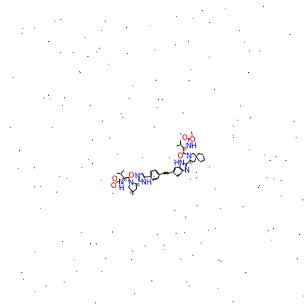 COC(=O)N[C@H](C(=O)N1C[C@H](C)C[C@H]1c1ncc(-c2ccc(C#Cc3ccc4nc([C@@H]5CC6(CCCC6)CN5C(=O)[C@@H](NC(=O)OC)C(C)C)[nH]c4c3)cc2)[nH]1)C(C)C